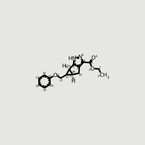 CCOC(=O)c1n[nH]c2c1C[C@H]1C(COc3ccccc3)[C@@H]21